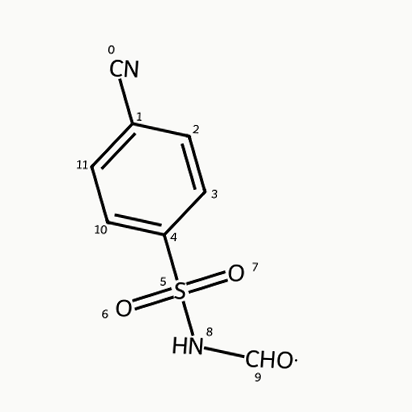 N#Cc1ccc(S(=O)(=O)N[C]=O)cc1